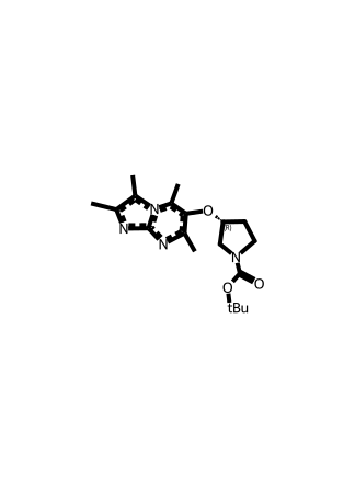 Cc1nc2nc(C)c(C)n2c(C)c1O[C@@H]1CCN(C(=O)OC(C)(C)C)C1